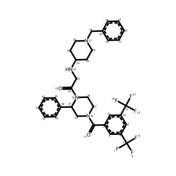 O=C(c1cc(C(F)(F)F)cc(C(F)(F)F)c1)N1CCN(C(=O)CNC2CCN(Cc3ccccc3)CC2)C(c2ccccc2)C1